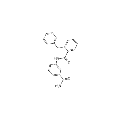 NC(=O)c1cccc(NC(=O)c2ccccc2Cc2ccccc2)c1